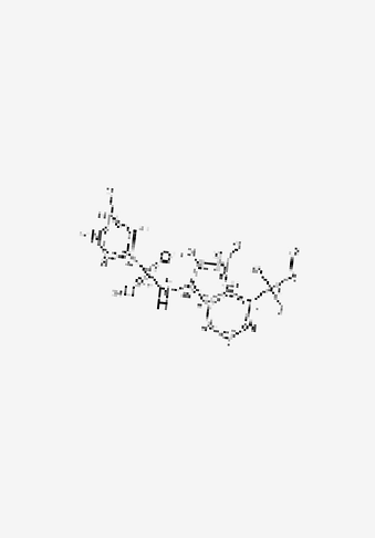 CCC(C)(C)c1cccc2c(NS(=O)(=O)c3cnn(C)c3)nn(C)c12